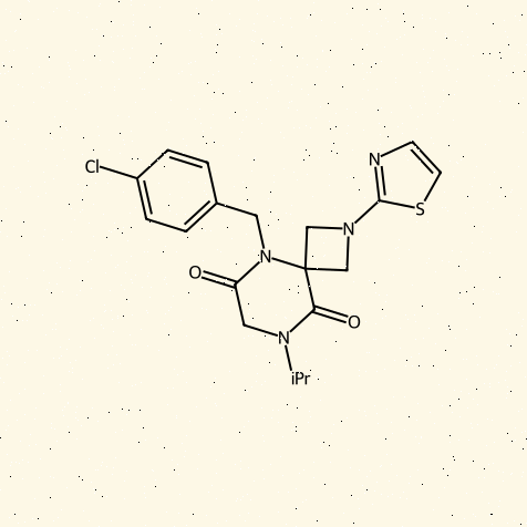 CC(C)N1CC(=O)N(Cc2ccc(Cl)cc2)C2(CN(c3nccs3)C2)C1=O